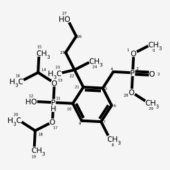 COP(=O)(Cc1cc(C)cc([PH](O)(OC(C)C)OC(C)C)c1C(C)(C)CCO)OC